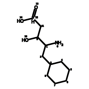 NC(CC1CCCCC1)C(O)C[PH](=O)O